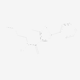 CCSCCN(CC)C(=O)c1sc(-c2cccnc2)nc1Cl